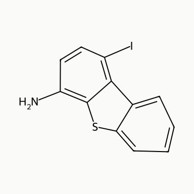 Nc1ccc(I)c2c1sc1ccccc12